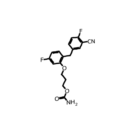 N#Cc1cc(Cc2ccc(F)cc2OCCCOC(N)=O)ccc1F